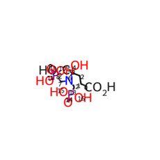 O=C(O)CCC(O)(C(=O)O)N(CP(=O)(O)O)CP(=O)(O)O